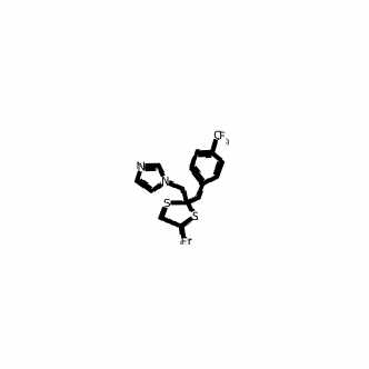 CCC1CSC(Cc2ccc(C(F)(F)F)cc2)(Cn2ccnc2)S1